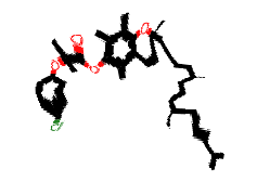 Cc1c(C)c2c(c(C)c1OC(=O)C(C)(C)Oc1ccc(Cl)cc1)CC[C@@](C)(CCC[C@H](C)CCC[C@H](C)CCCC(C)C)O2